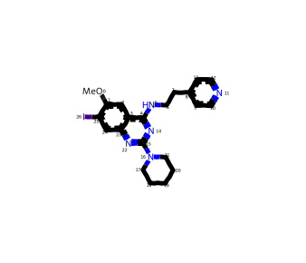 COc1cc2c(NCCc3ccncc3)nc(N3CCCCC3)nc2cc1I